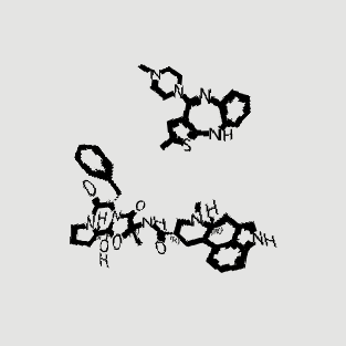 CN1C[C@H](C(=O)N[C@]2(C)O[C@@]3(O)[C@@H]4CCCN4C(=O)[C@H](Cc4ccccc4)N3C2=O)C=C2c3cccc4[nH]cc(c34)C[C@H]21.Cc1cc2c(s1)Nc1ccccc1N=C2N1CCN(C)CC1